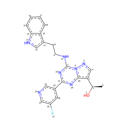 C[C@@H](O)c1cnn2c(NCCc3c[nH]c4ccccc34)nc(-c3cncc(F)c3)nc12